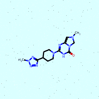 CN1C=C2N=C(N3CCC(c4nnn(C)n4)CC3)NC(=O)N2C1